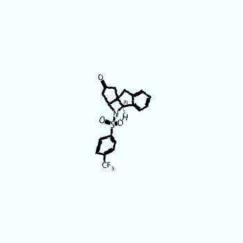 O=C1CC2N(S(=O)(=O)c3ccc(C(F)(F)F)cc3)[C@@H]3c4ccccc4CC23C1